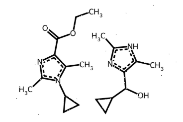 CCOC(=O)c1nc(C)n(C2CC2)c1C.Cc1nc(C(O)C2CC2)c(C)[nH]1